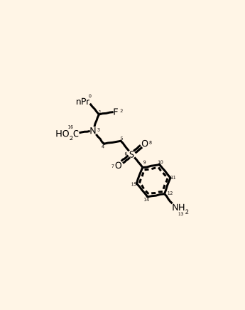 CCCC(F)N(CCS(=O)(=O)c1ccc(N)cc1)C(=O)O